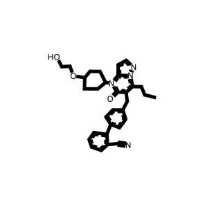 CCCc1c(Cc2ccc(-c3ccccc3C#N)cc2)c(=O)n(C2CCC(OCCO)CC2)c2ccnn12